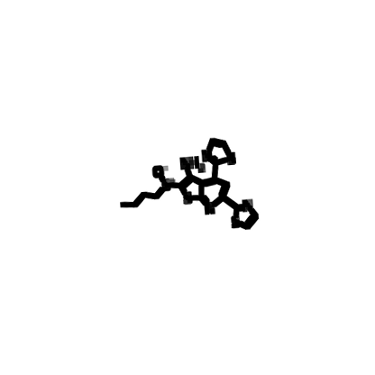 CCCC[S+]([O-])c1sc2nc(-c3nccs3)cc(-c3nccs3)c2c1N